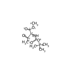 COC(=O)[C@@H](NC(=O)OC(C)(C)C)C(C)=O